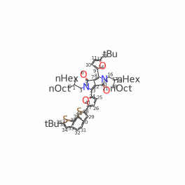 CCCCCCCCC(CCCCCC)CN1C(=O)C2=C(c3ccc(C(C)(C)C)o3)N(CC(CCCCCC)CCCCCCCC)C(=O)C2=C1c1ccc(-c2cc3ccc4cc(C(C)(C)C)sc4c3s2)o1